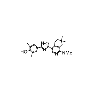 CNc1ncc(-c2nc(-c3cc(C)c(O)c(C)c3)no2)c2c1CC(C)(C)CC2